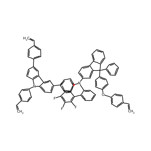 C=Cc1ccc(Oc2ccc(C3(c4ccccc4)c4ccccc4-c4ccc(N(c5ccc(-c6ccc7c(c6)c6cc(-c8ccc(C=C)cc8)ccc6n7-c6ccc(C=C)cc6)cc5)c5ccccc5-c5c(F)c(F)c(F)c(F)c5F)cc43)cc2)cc1